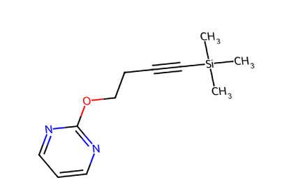 C[Si](C)(C)C#CCCOc1ncccn1